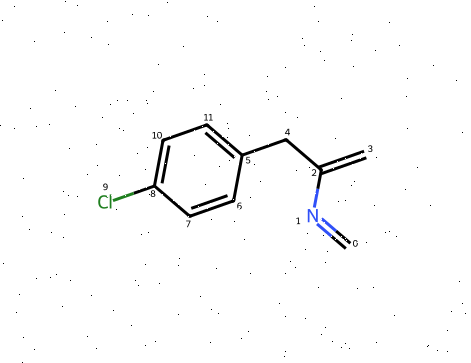 C=NC(=C)Cc1ccc(Cl)cc1